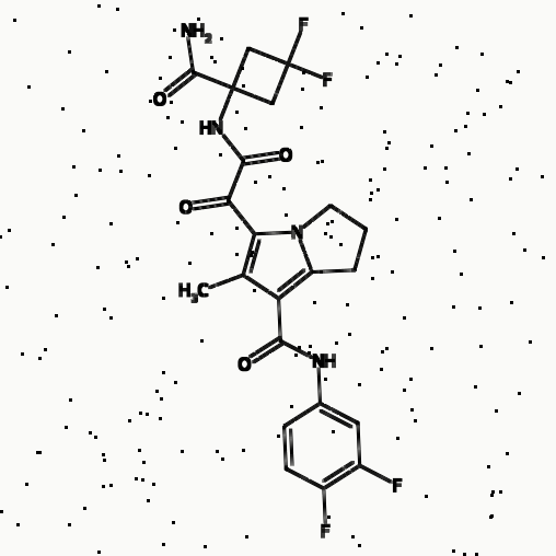 Cc1c(C(=O)Nc2ccc(F)c(F)c2)c2n(c1C(=O)C(=O)NC1(C(N)=O)CC(F)(F)C1)CCC2